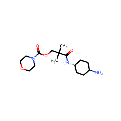 CC(C)(COC(=O)N1CCOCC1)C(=O)N[C@H]1CC[C@H](N)CC1